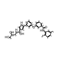 Cc1ccc(F)c(NC(=O)c2cccc(Oc3ccnc(-c4cc(C(O)NCC(O)CO)c[nH]4)c3)c2)c1